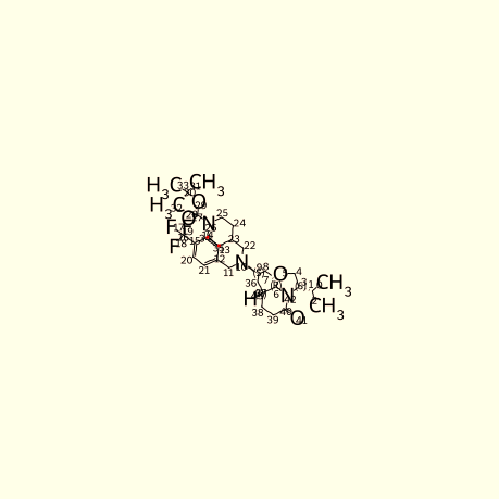 CC(C)[C@H]1CO[C@]23CC[C@H](N(Cc4ccc(C(F)(F)F)cc4)CC4CCN(C(=O)OC(C)(C)C)CC4)C[C@H]2CCC(=O)N13